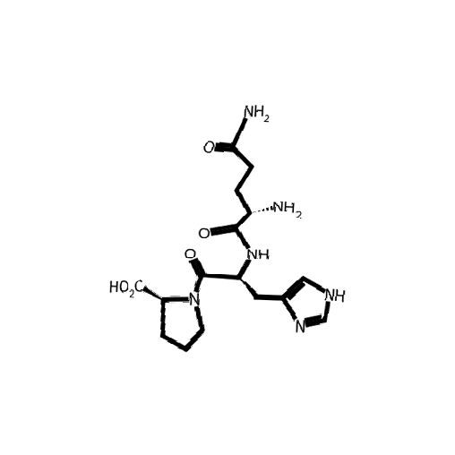 NC(=O)CC[C@H](N)C(=O)N[C@@H](Cc1c[nH]cn1)C(=O)N1CCC[C@H]1C(=O)O